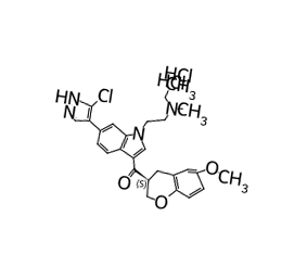 CCN(C)CCn1cc(C(=O)[C@@H]2COc3ccc(OC)cc3C2)c2ccc(-c3cn[nH]c3Cl)cc21.Cl.Cl